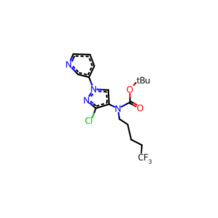 CC(C)(C)OC(=O)N(CCCCC(F)(F)F)c1cn(-c2cccnc2)nc1Cl